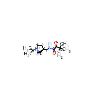 CC(C)[N+]12CCC(CNC(=O)C(=O)C(C)(C)C)(CC1)C2